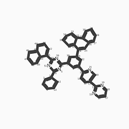 c1ccc(-c2nc(-c3cc(-c4ccc(-c5ncccn5)cn4)cc(-c4cc5ccccc5c5ccccc45)c3)nc(-c3cccc4ccccc34)n2)cc1